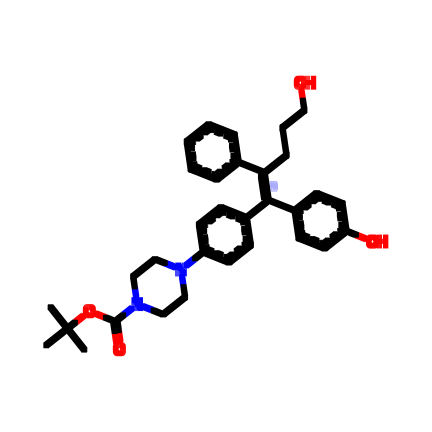 CC(C)(C)OC(=O)N1CCN(c2ccc(/C(=C(/CCCO)c3ccccc3)c3ccc(O)cc3)cc2)CC1